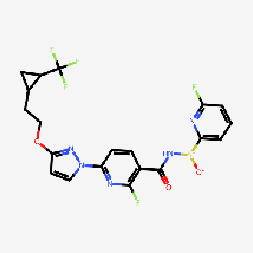 O=C(N[S+]([O-])c1cccc(F)n1)c1ccc(-n2ccc(OCCC3CC3C(F)(F)F)n2)nc1F